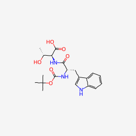 C[C@@H](O)[C@H](NC(=O)[C@H](Cc1c[nH]c2ccccc12)NC(=O)OC(C)(C)C)C(=O)O